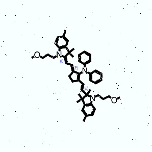 COCCCN1/C(=C/C=C2\CCC(/C=C/C3(C)N(CCCOC)c4ccc(C)cc4C3(C)C)=C2N(c2ccccc2)c2ccccc2)C(C)(C)c2cc(C)ccc21